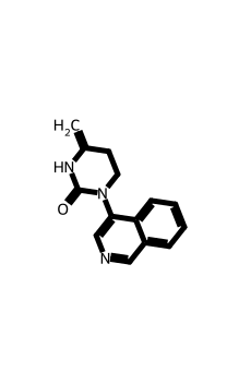 C=C1CCN(c2cncc3ccccc23)C(=O)N1